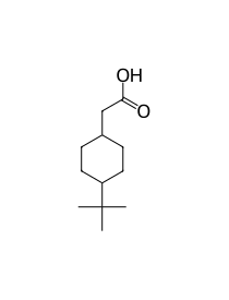 CC(C)(C)C1CCC(CC(=O)O)CC1